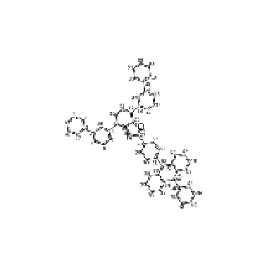 c1ccc(-c2cccc(-c3ccc(-c4cccc(-c5ccccc5)c4)c4oc(-c5ccc(-c6c7ccccc7c(-c7ccccc7)c7ccccc67)cc5)nc34)c2)cc1